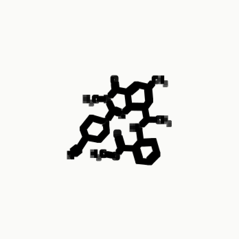 COC(=O)c1ccccc1NC(C)c1cc(C)cc2c(=O)n(C)c(N3CCC(C#N)CC3)nc12